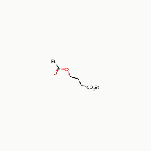 CCOC(=O)CCCOC(=O)CC